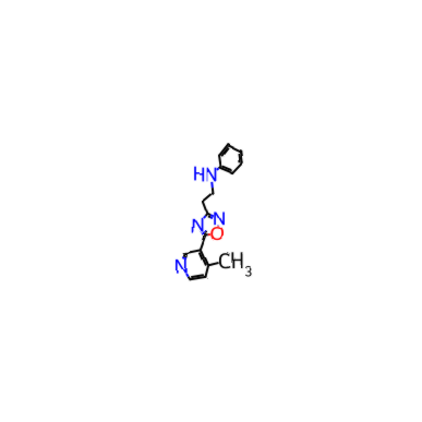 Cc1ccncc1-c1nc(CCNc2ccccc2)no1